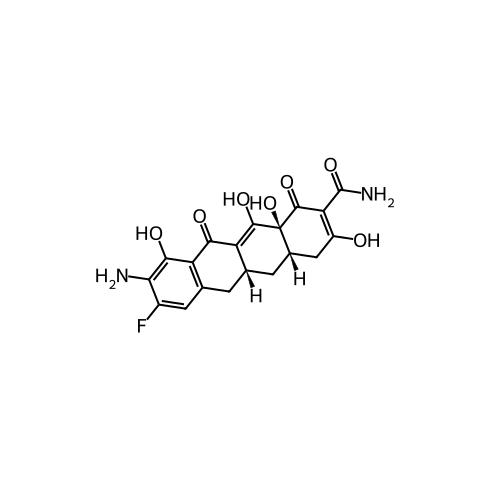 NC(=O)C1=C(O)C[C@@H]2C[C@@H]3Cc4cc(F)c(N)c(O)c4C(=O)C3=C(O)[C@]2(O)C1=O